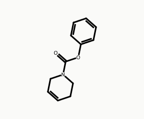 O=C(Oc1ccccc1)N1CC=CCC1